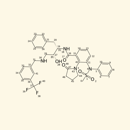 CS(=O)(=O)N(c1ccccc1)c1cccc(C(=O)N[C@@H](Cc2ccccc2)[C@H](O)CNCc2cccc(C(F)(F)F)c2)c1N1CCCC1=O